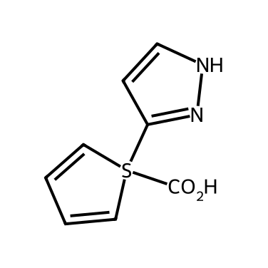 O=C(O)S1(c2cc[nH]n2)C=CC=C1